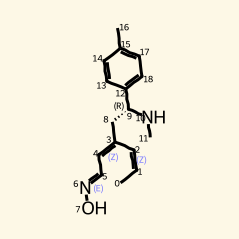 C\C=C/C(=C\C=N\O)C[C@@H](NC)c1ccc(C)cc1